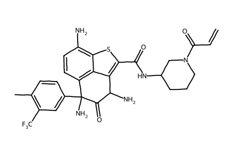 C=CC(=O)N1CCCC(NC(=O)c2sc3c(N)ccc4c3c2C(N)C(=O)C4(N)c2ccc(C)c(C(F)(F)F)c2)C1